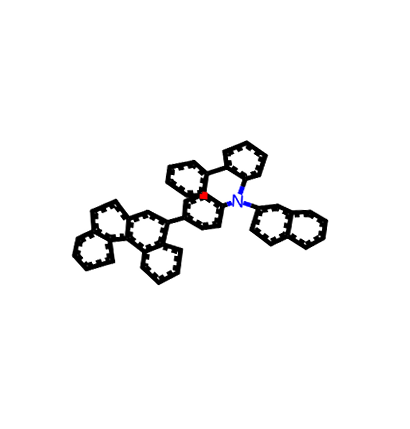 c1ccc(-c2ccccc2N(c2ccc(-c3cc4ccc5ccccc5c4c4ccccc34)cc2)c2ccc3ccccc3c2)cc1